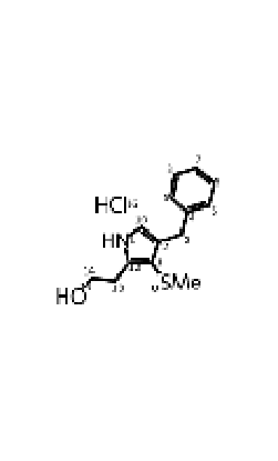 CSc1c(Cc2ccccc2)c[nH]c1CCO.Cl